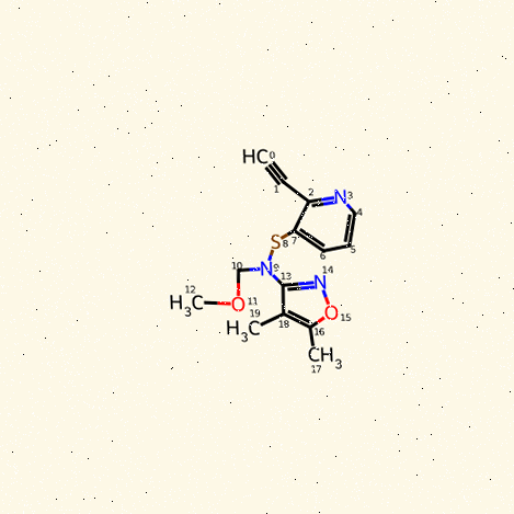 C#Cc1ncccc1SN(COC)c1noc(C)c1C